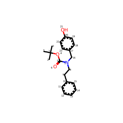 CC(C)(C)OC(=O)N(CCc1ccccc1)Cc1ccc(O)cc1